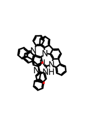 c1ccc(C2=NC(c3ccccc3)NC(n3c4ccccc4c4ccc5c6ccccc6n(-c6cc(-c7ccccc7)cc7c8ccccc8n(-c8ccccc8)c67)c5c43)=N2)cc1